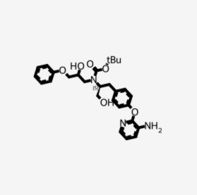 CC(C)(C)OC(=O)N(CC(O)COc1ccccc1)[C@H](CO)Cc1ccc(Oc2ncccc2N)cc1